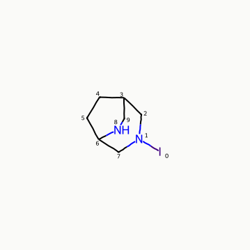 IN1CC2CCC(C1)NC2